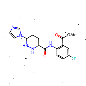 COC(=O)c1cc(F)ccc1NC(=O)C1CCC(n2ccnc2)NN1